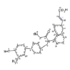 COc1ccc(-c2ccc(CN(C(=O)CC(C)(C)C)c3nccc4cc(/C=C/C(=O)O)ccc34)cc2)cc1C